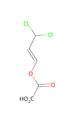 O=C(O)C(=O)OC=CC(Cl)Cl